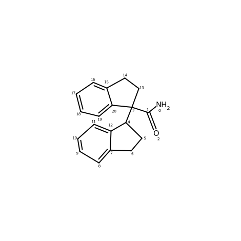 NC(=O)C1(C2CCc3ccccc32)CCc2ccccc21